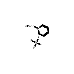 CCCCCN1C=CC=CC1.F[B-](F)(F)F